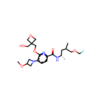 COC1CN(c2ccc(C(=O)N[C@@H](C)CC(C)COCF)nc2OCC2(CO)COC2)C1